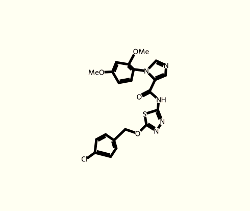 COc1ccc(-n2cncc2C(=O)Nc2nnc(OCc3ccc(Cl)cc3)s2)c(OC)c1